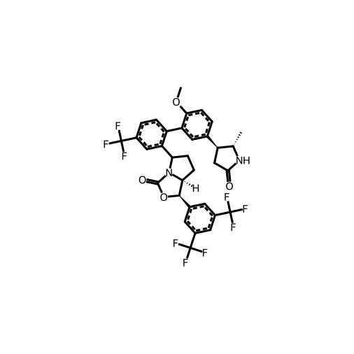 COc1ccc([C@@H]2CC(=O)N[C@H]2C)cc1-c1ccc(C(F)(F)F)cc1C1CC[C@H]2[C@@H](c3cc(C(F)(F)F)cc(C(F)(F)F)c3)OC(=O)N12